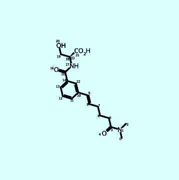 CN(C)C(=O)CCCC=Cc1cccc(C(=O)N[C@@H](CO)C(=O)O)c1